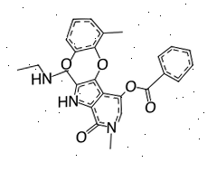 CCNC(=O)c1[nH]c2c(=O)n(C)cc(OC(=O)c3ccccc3)c2c1Oc1c(C)cccc1C